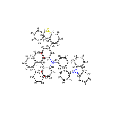 c1ccc(-n2c3ccccc3c3cccc(-c4ccc(N(c5cccc(-c6cccc7sc8ccccc8c67)c5)c5ccccc5-c5cccc6cccc(C7CCCCC7)c56)cc4)c32)cc1